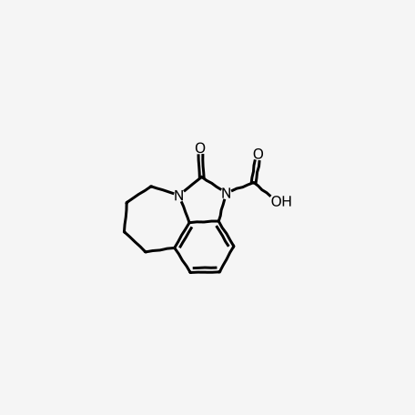 O=C(O)n1c(=O)n2c3c(cccc31)CCCC2